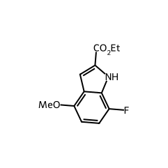 CCOC(=O)c1cc2c(OC)ccc(F)c2[nH]1